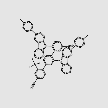 Cc1ccc(-c2ccc3c(c2)c2ccccc2n3-c2ccc(C#N)cc2-c2ccc(-c3ccc(C#N)cc3C(F)(F)F)cc2-n2c3ccccc3c3cc(-c4ccc(C)cc4)ccc32)cc1